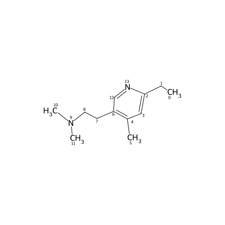 CCc1cc(C)c(CCN(C)C)cn1